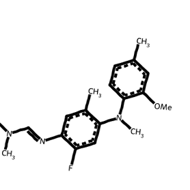 CCN(C)C=Nc1cc(C)c(N(C)c2ccc(C)cc2OC)cc1F